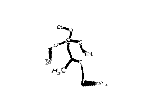 C=COC(C)[Si](OCC)(OCC)OCC